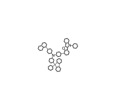 c1ccc(-n2c3ccccc3c3oc4c(-c5ccc(N(c6ccc(-c7cccc8ccccc78)cc6)c6cccc(C7(c8ccccc8)c8ccccc8-c8ccccc87)c6)cc5)cccc4c32)cc1